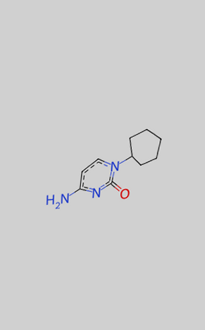 Nc1ccn(C2CCCCC2)c(=O)n1